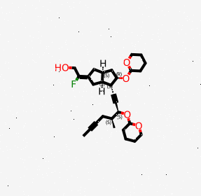 CC#CC[C@H](C)[C@@H](C#C[C@@H]1[C@H]2CC(=C(F)CO)C[C@H]2C[C@H]1OC1CCCCO1)OC1CCCCO1